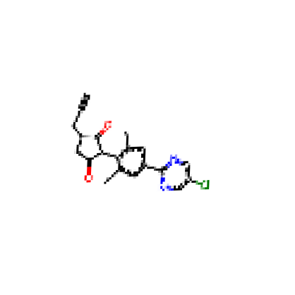 C#CCC1CC(=O)C(c2c(C)cc(-c3ncc(Cl)cn3)cc2C)C1=O